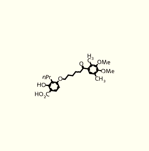 CCCc1c(OCCCCCC(=O)c2cc(C)c(OC)c(OC)c2C)ccc(C(=O)O)c1O